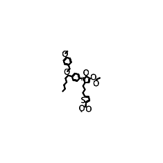 CCCCCC(OCc1ccc(OC)cc1)c1ccc([C@H]2C(=O)C(OC(C)=O)=CC2CCCc2ccc(C(=O)OC)s2)cc1